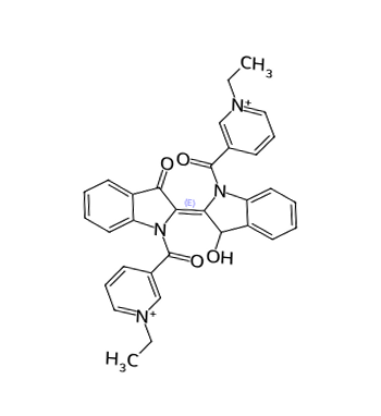 CC[n+]1cccc(C(=O)N2/C(=C3\C(O)c4ccccc4N3C(=O)c3ccc[n+](CC)c3)C(=O)c3ccccc32)c1